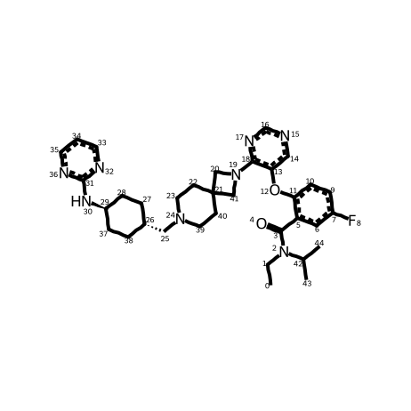 CCN(C(=O)c1cc(F)ccc1Oc1cncnc1N1CC2(CCN(C[C@H]3CC[C@H](Nc4ncccn4)CC3)CC2)C1)C(C)C